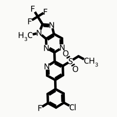 CCS(=O)(=O)c1cc(-c2cc(F)cc(Cl)c2)cnc1-c1ncc2nc(C(F)(F)F)n(C)c2n1